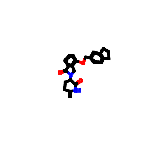 C=C1CCC(N2Cc3c(OCc4ccc5c(c4)CCC5)cccc3C2=O)C(=O)N1